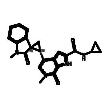 CN1C(=O)[C@]2(C[C@@H]2c2cn(C)c(=O)c3[nH]c(C(=O)NC4CC4)cc23)c2ccccc21